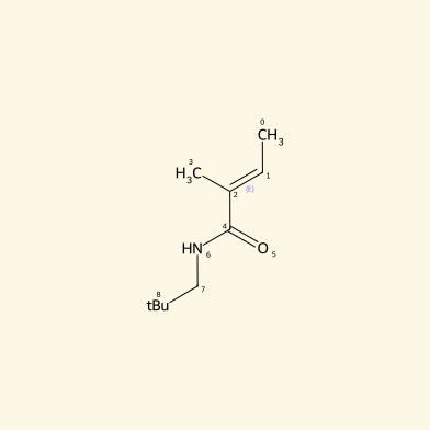 C/C=C(\C)C(=O)NCC(C)(C)C